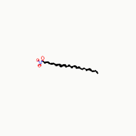 CC/C=C/C/C=C/C/C=C/CC/C=C/C=C/C/C=C/CCC(=O)[N+](=O)[O-]